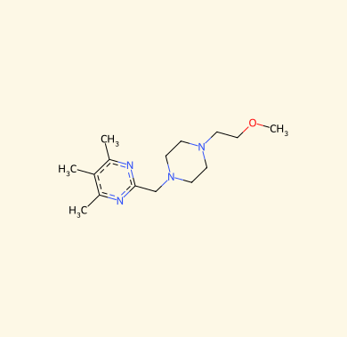 COCCN1CCN(Cc2nc(C)c(C)c(C)n2)CC1